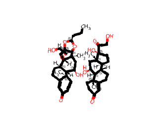 CCC[C@@H]1O[C@@H]2C[C@H]3[C@@H]4CCC5=CC(=O)C=C[C@]5(C)[C@H]4[C@@H](O)C[C@]3(C)[C@]2(C(=O)CO)O1.C[C@]12CCC(=O)C=C1CC[C@@H]1[C@@H]2[C@@H](O)C[C@@]2(C)[C@H]1CC[C@]2(O)C(=O)CO